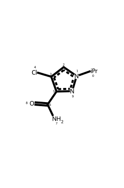 CC(C)n1cc(Cl)c(C(N)=O)n1